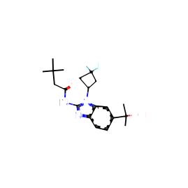 CC(C)(C)CC(=O)Nc1nc2ccc(C(C)(C)O)cc2n1C1CC(F)(F)C1